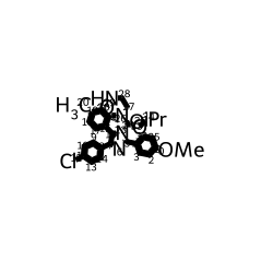 COc1ccc(C2=NC(c3ccc(Cl)cc3)C(c3ccc(C)cc3)N2C(=O)N2CCNOC2)c(OC(C)C)c1